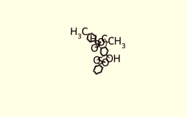 Cc1ccc(S(=O)(=O)c2cc(S(=O)(=O)c3ccccc3)c(O)cc2C(C)C)cc1